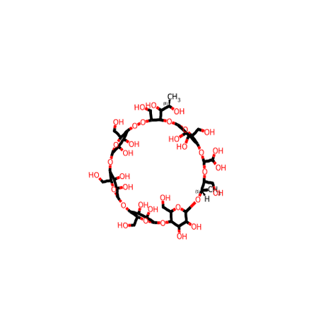 C[C@@H]1OC2OC(CO)C(OC3OC(CO)C(OC4OC(CO)C(OC5OC(CO)C(OOC(CO)C(C(O)[C@@H](C)O)OC6OC(CO)C(OC(C(O)O)OC1CO)C(O)C6O)C(O)C5O)C(O)C4O)C(O)C3O)C(O)C2O